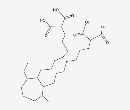 CCC1CCCC(C)C(CCCCCCCC(C(=O)O)C(=O)O)C1CCCCCCCC(C(=O)O)C(=O)O